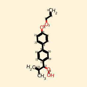 C=CCOOc1ccc(-c2ccc(C(OO)C(=C)C)cc2)cc1